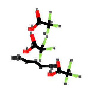 O=C(O)C(F)(F)F.O=C(O)C(F)(F)F.O=C(O)C(F)(F)F.O=CCCCC(=O)O